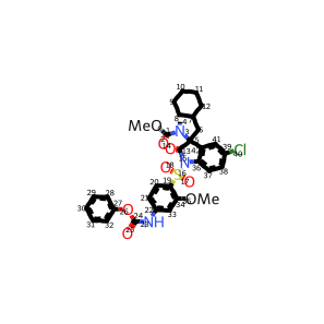 COC(=O)N(C)C1(CC2CCCCC2)C(=O)N(S(=O)(=O)c2ccc(NC(=O)Oc3ccccc3)cc2OC)c2ccc(Cl)cc21